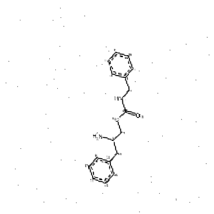 NC(COC(=O)NCc1ccccc1)Cc1ccccc1